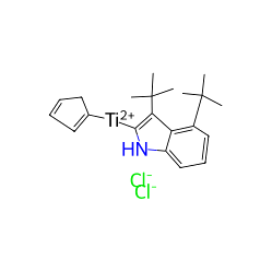 CC(C)(C)c1cccc2[nH][c]([Ti+2][C]3=CC=CC3)c(C(C)(C)C)c12.[Cl-].[Cl-]